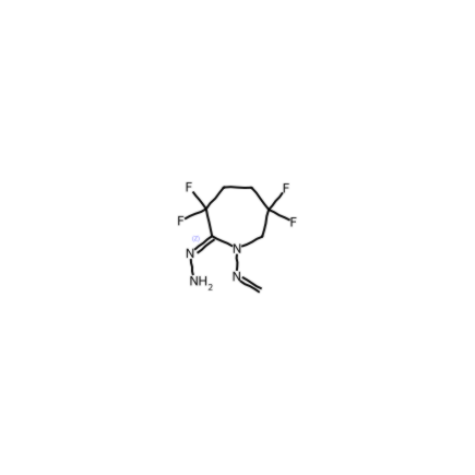 C=NN1CC(F)(F)CCC(F)(F)/C1=N/N